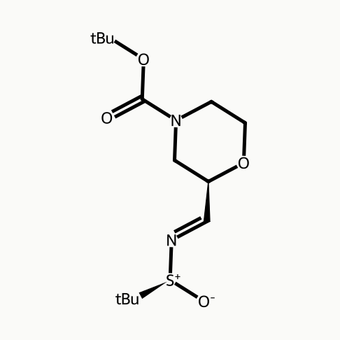 CC(C)(C)OC(=O)N1CCO[C@@H](/C=N/[S@@+]([O-])C(C)(C)C)C1